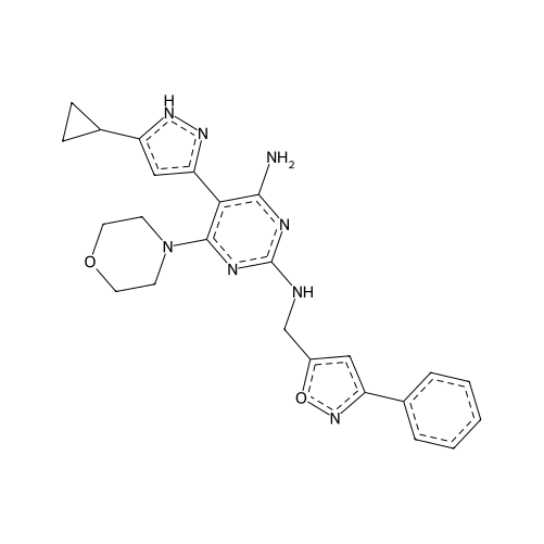 Nc1nc(NCc2cc(-c3ccccc3)no2)nc(N2CCOCC2)c1-c1cc(C2CC2)[nH]n1